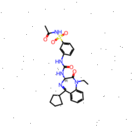 CCN1C(=O)[C@H](NC(=O)Nc2cccc(S(=O)(=O)NC(C)=O)c2)N=C(C2CCCC2)c2ccccc21